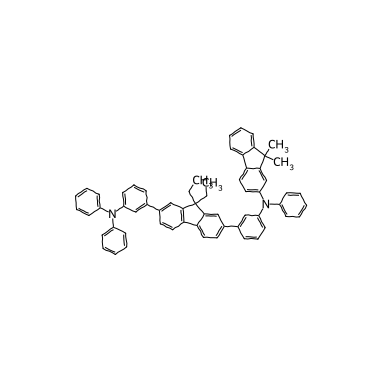 CCC1(CC)c2cc(-c3cccc(N(c4ccccc4)c4ccccc4)c3)ccc2-c2ccc(-c3cccc(N(c4ccccc4)c4ccc5c(c4)C(C)(C)c4ccccc4-5)c3)cc21